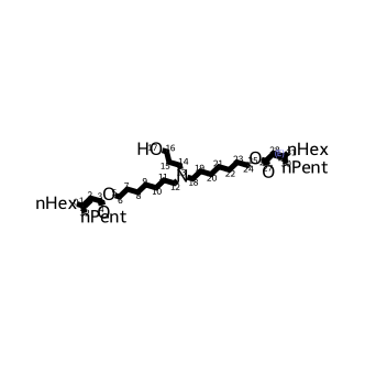 CCCCCCC(=CC(=O)OCCCCCCCN(CCCO)CCCCCCCOC(=O)/C=C(\CCCCC)CCCCCC)CCCCC